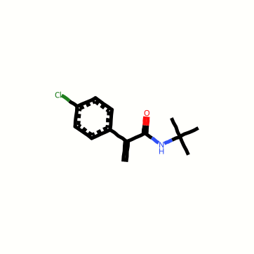 C=C(C(=O)NC(C)(C)C)c1ccc(Cl)cc1